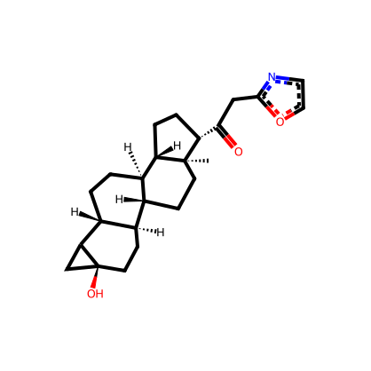 C[C@]12CC[C@@H]3[C@H]4CC[C@]5(O)CC5[C@@H]4CC[C@H]3[C@@H]1CC[C@@H]2C(=O)Cc1ncco1